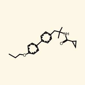 CCCOc1ccc(-c2ccc(CC(C)(C)NC(=O)C3CC3)cc2)cc1